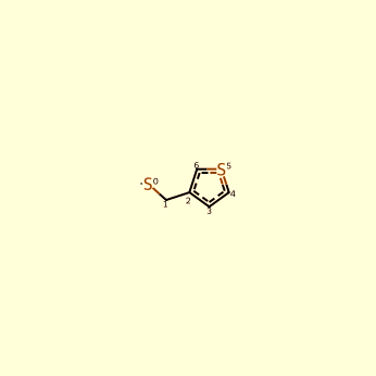 [S]Cc1ccsc1